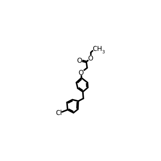 CCOC(=O)COc1ccc(Cc2ccc(Cl)cc2)cc1